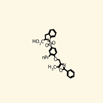 CCCc1cc(S(=O)(=O)N2c3ccccc3CC2C(=O)O)ccc1OCc1nc(-c2ccccc2)oc1C